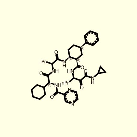 CCCC(NC(=O)[C@@H]1C[C@H](c2ccccc2)CC[C@@H]1NC(=O)C(NC(=O)[C@@H](NC(=O)c1cnccn1)C1CCCCC1)C(C)C)C(=O)C(=O)NC1CC1